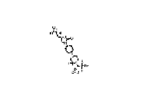 CC1(F)CN(c2ccc(N3CC(CNC(=O)C(F)(F)F)OC3=O)cc2)CCN1C(NC=O)C(Br)(Br)Br